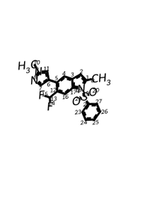 Cc1cc2cc(-c3cnn(C)c3)c(C(F)F)cc2n1S(=O)(=O)c1ccccc1